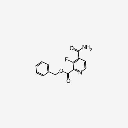 NC(=O)c1ccnc(C(=O)OCc2ccccc2)c1F